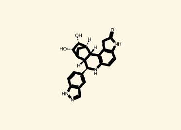 O=C1Cc2c(ccc3c2[C@H]2[C@H]4CC([C@H]2[C@H](c2ccc5[nH]ncc5c2)N3)[C@H](O)[C@@H]4O)N1